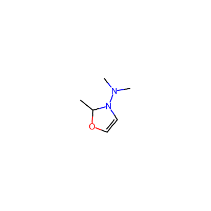 CC1OC=CN1N(C)C